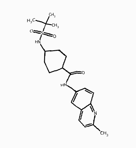 Cc1ccc2cc(NC(=O)C3CCC(NS(=O)(=O)C(C)(C)C)CC3)ccc2n1